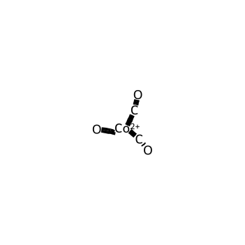 O=[C]=[Co+2](=[C]=O)=[C]=O